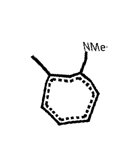 C[N]c1ccccc1C